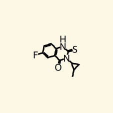 CC1CC1n1c(=S)[nH]c2ccc(F)cc2c1=O